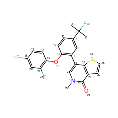 Cn1cc(-c2cc(C(C)(C)F)ccc2Oc2ccc(F)cc2F)c2sccc2c1=O